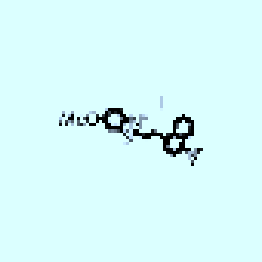 COc1ccc2c(c1)sc(/C=C/c1ccc(N(C)C)c3ccccc13)[n+]2C.[I-]